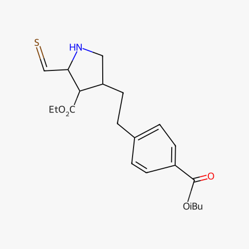 CCOC(=O)C1C(CCc2ccc(C(=O)OCC(C)C)cc2)CNC1C=S